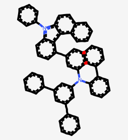 c1ccc(-c2cc(-c3ccccc3)cc(N(c3cccc(-c4cccc5c4c4c6ccccc6ccc4n5-c4ccccc4)c3)c3ccccc3-c3ccccc3)c2)cc1